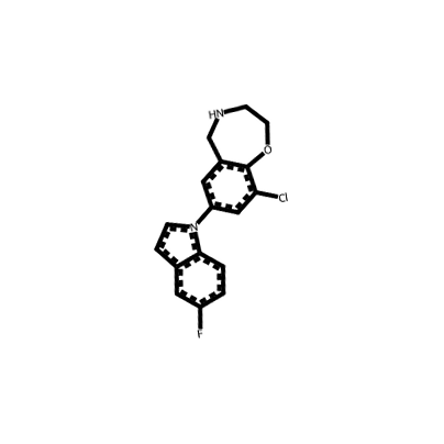 Fc1ccc2c(ccn2-c2cc(Cl)c3c(c2)CNCCO3)c1